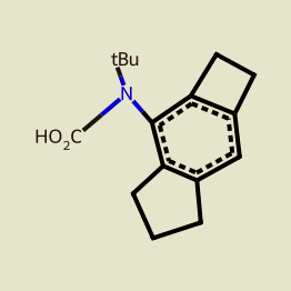 CC(C)(C)N(C(=O)O)c1c2c(cc3c1CC3)CCC2